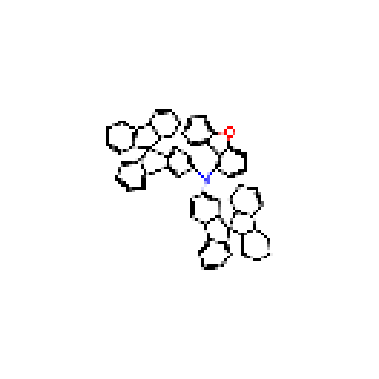 C1=CC2=C(CC1)C1C=CCCC1C21c2ccccc2-c2cc(N(C3=CC4C(C=C3)c3ccccc3C43C4CCC=CC4C4CCCCC43)c3cccc4oc5ccccc5c34)ccc21